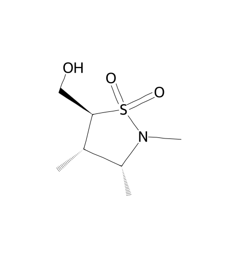 C[C@H]1[C@@H](C)N(C)S(=O)(=O)[C@@H]1CO